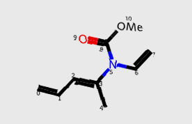 C=C/C=C(\C)N(C=C)C(=O)OC